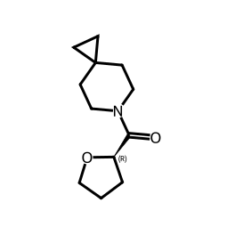 O=C([C@H]1CCCO1)N1CCC2(CC1)CC2